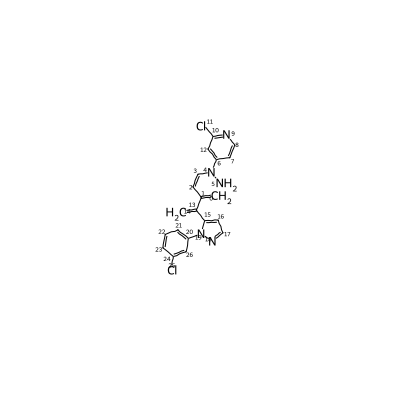 C=C(/C=C\N(N)c1ccnc(Cl)c1)C(=C)c1ccnn1-c1cccc(Cl)c1